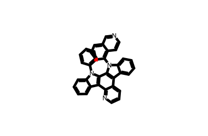 c1ccc(-n2c3ccccc3c3c4ncccc4c4c5ccccc5n(-c5cccc6cnccc56)c4c32)cc1